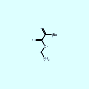 C=C(C(=O)OCN)C(C)(C)C